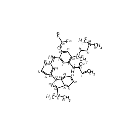 C=CC(=O)Nc1cc(Nc2nccc(-n3nc(N(C)C)c4ccccc43)n2)c(OC(F)F)cc1N(C)CCN(C)C